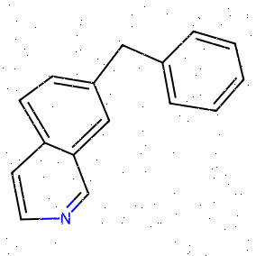 c1ccc(Cc2ccc3ccncc3c2)cc1